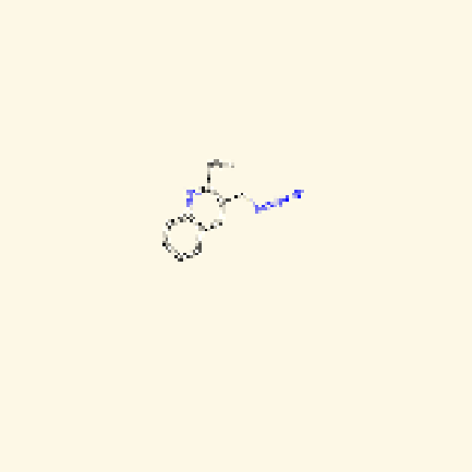 CCCCCc1nc2ccccc2cc1CN=[N+]=[N-]